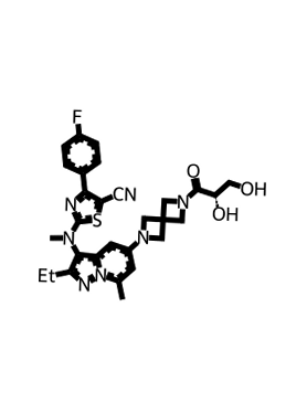 CCc1nn2c(C)cc(N3CC4(CN(C(=O)[C@@H](O)CO)C4)C3)cc2c1N(C)c1nc(-c2ccc(F)cc2)c(C#N)s1